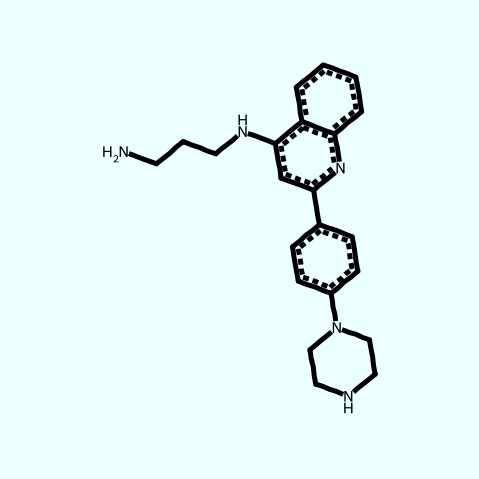 NCCCNc1cc(-c2ccc(N3CCNCC3)cc2)nc2ccccc12